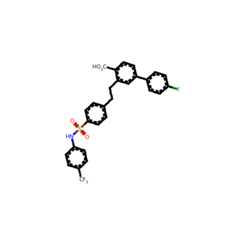 O=C(O)c1ccc(-c2ccc(F)cc2)cc1CCc1ccc(S(=O)(=O)Nc2ccc(C(F)(F)F)cc2)cc1